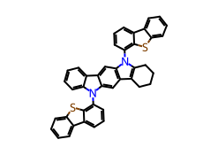 c1ccc2c(c1)sc1c(-n3c4c(c5cc6c(cc53)c3ccccc3n6-c3cccc5c3sc3ccccc35)CCCC4)cccc12